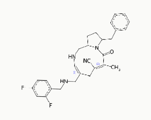 C/C1=C(/C#N)C/C(CNCc2ccc(F)cc2F)=C\NCC2CCC(Cc3ccccc3)N2C1=O